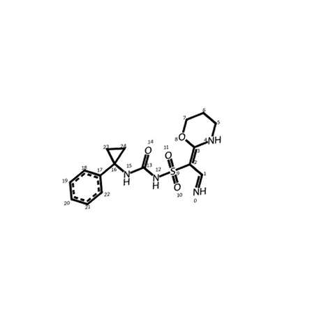 N=C/C(=C1\NCCCO1)S(=O)(=O)NC(=O)NC1(c2ccccc2)CC1